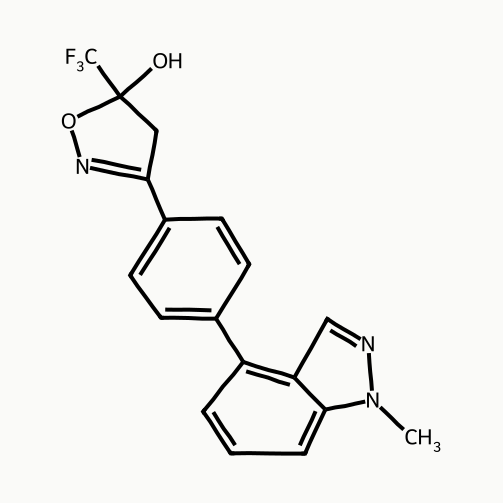 Cn1ncc2c(-c3ccc(C4=NOC(O)(C(F)(F)F)C4)cc3)cccc21